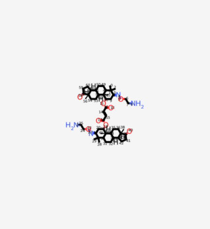 CC1(C)/C(=N/OCCN)CC(OC(=O)/C=C/C(=O)OC2C/C(=N\OCCN)C(C)(C)C3CC[C@@H]4[C@@H](CC[C@]5(C)C(=O)CC[C@@H]45)[C@@]23C)[C@@]2(C)C1CC[C@@H]1[C@H]2CC[C@]2(C)C(=O)CC[C@@H]12